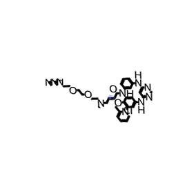 CN(C/C=C/C(=O)Nc1cccc(Nc2cc(Nc3ccc(OCc4ccccn4)c(Cl)c3)ncn2)c1)CCOCCOCCN=[N+]=[N-]